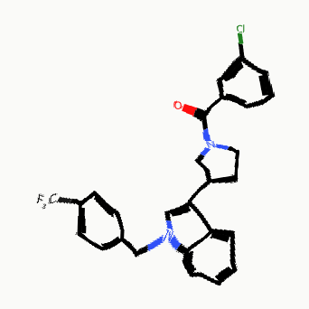 O=C(c1cccc(Cl)c1)N1CCC(c2cn(Cc3ccc(C(F)(F)F)cc3)c3ccccc23)C1